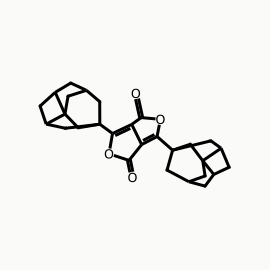 O=C1OC(C23CC4CC5CC(C2)C5(C4)C3)=C2C(=O)OC(C34CC5CC6CC(C3)C6(C5)C4)=C12